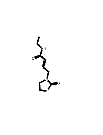 CCNC(=O)/C=C/CN1CCOC1=O